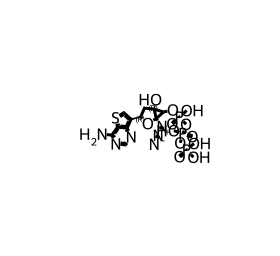 [N-]=[N+]=NC12O[C@@H](c3csc4c(N)ncnc34)C[C@@]1(O)C2OP(=O)(O)OP(=O)(O)OP(=O)(O)O